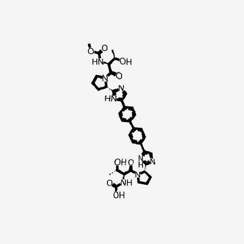 COC(=O)N[C@H](C(=O)N1CCC[C@H]1c1ncc(-c2ccc(-c3ccc(-c4cnc([C@@H]5CCCN5C(=O)[C@@H](NC(=O)O)[C@H](C)O)[nH]4)cc3)cc2)[nH]1)[C@@H](C)O